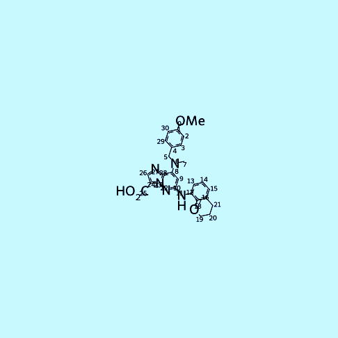 COc1ccc(CN(C)c2cc(Nc3cccc4c3OCCC4)nn3c(C(=O)O)cnc23)cc1